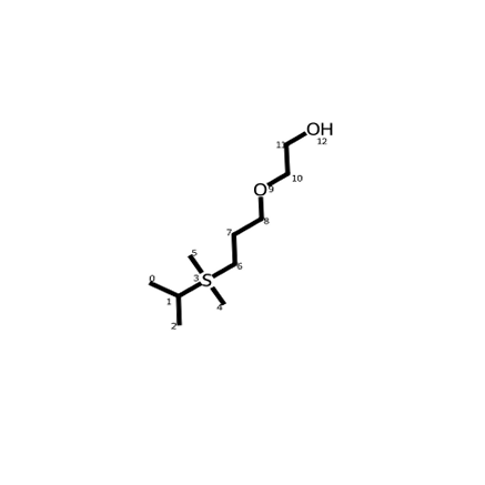 CC(C)S(C)(C)CCCOCCO